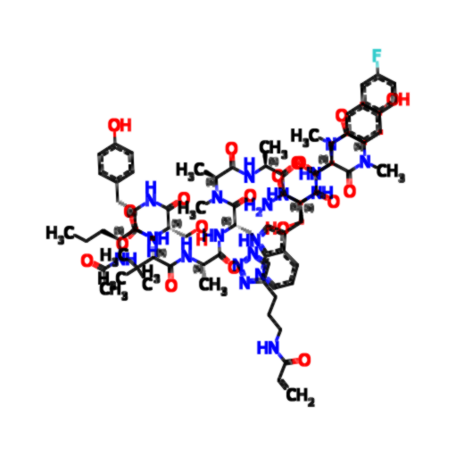 C=CC(=O)NCCCc1cn(C[C@H](NC(=O)[C@H](C)NC(=O)[C@@H](NC(=O)[C@H](Cc2ccc(O)cc2)NC(=O)[C@H](CO)NC(=O)[C@H](CCC)NC(C)=O)C(C)(C)C)C(=O)N(C)[C@@H](C)C(=O)N[C@@H](C)C(=O)N[C@@H](Cc2c[nH]c3ncccc23)C(=O)N[C@@H](Cc2ccc(O)cc2)C(=O)N(C)[C@@H](Cc2ccc(F)cc2)C(=O)N(C)CC(=O)N[C@@H](CO)C(N)=O)nn1